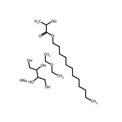 CCCCCCCCCCCCOC(=O)C(C)O.CCOCC.OCC(O)C(O)CO.[NaH]